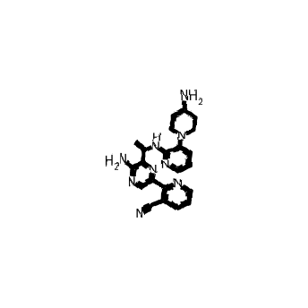 C=C(Nc1ncccc1N1CCC(N)CC1)c1nc(-c2ncccc2C#N)cnc1N